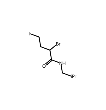 CC(C)CNC(=O)C(Br)CCI